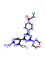 Cc1nc(N)ncc1-c1nc(N2CCOCC2)nc(N2CCN(C(=O)CCl)CC2)n1